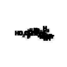 CCCN(CC(C)C)c1ncc(-c2nc(-c3ccc(C(=O)O)c(F)c3)no2)cc1C